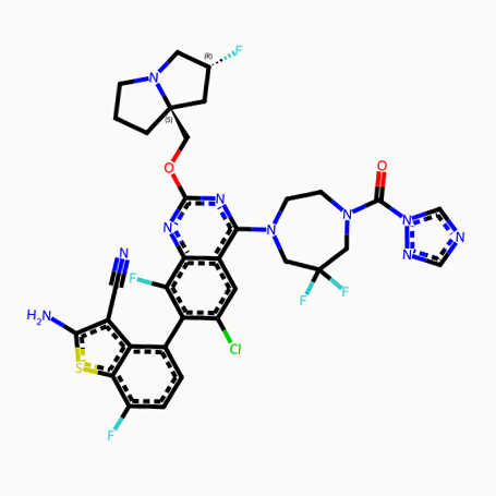 N#Cc1c(N)sc2c(F)ccc(-c3c(Cl)cc4c(N5CCN(C(=O)n6cncn6)CC(F)(F)C5)nc(OC[C@@]56CCCN5C[C@H](F)C6)nc4c3F)c12